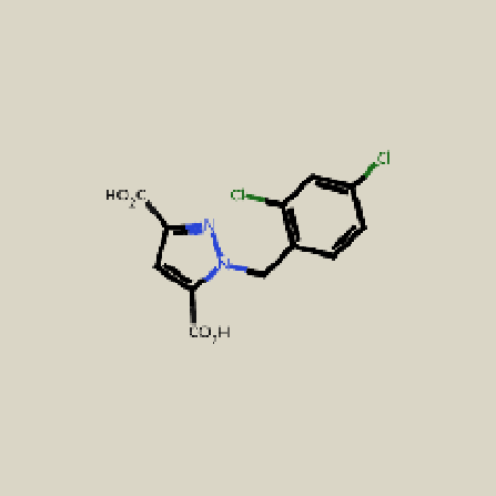 O=C(O)c1cc(C(=O)O)n(Cc2ccc(Cl)cc2Cl)n1